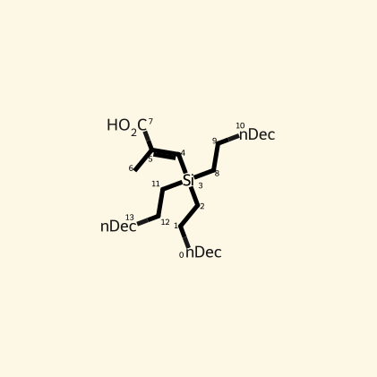 CCCCCCCCCCCC[Si](C=C(C)C(=O)O)(CCCCCCCCCCCC)CCCCCCCCCCCC